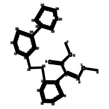 CO/N=C(\C(=O)OC)c1ccccc1CCc1cccc(-c2cccnc2)c1